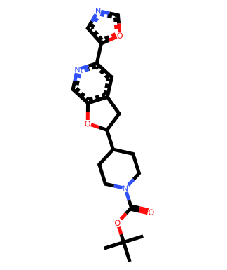 CC(C)(C)OC(=O)N1CCC(C2Cc3cc(-c4cnco4)ncc3O2)CC1